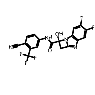 N#Cc1ccc(NC(=O)[C@@]2(O)Cc3nc4cc(F)c(F)cc4n32)cc1C(F)(F)F